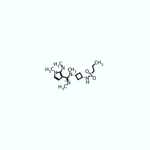 C=Nc1c(/C(=N\C)N(C)[C@H]2C[C@@H](NS(=O)(=O)CCC)C2)ccn1C